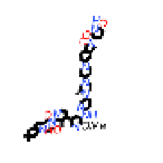 COc1ncc(-c2ccnc(N3CCn4c(cc5c4CC(C)(C)C5)C3=O)c2CO)cc1Nc1ccc(N2CCN(C3CCN(c4ccc5c(c4)CN(C4CCC(=O)NC4=O)C5=O)CC3)C[C@@H]2C)cn1